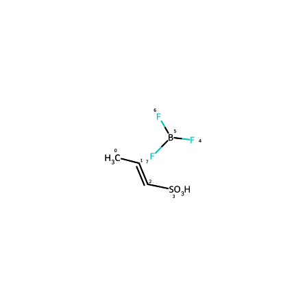 CC=CS(=O)(=O)O.FB(F)F